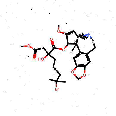 COC(=O)CC(O)(CCCC(C)(C)Br)C(=O)OC1C(OC)=C[C@]23CCCN2CCc2cc4c(cc2[C@H]13)OCO4